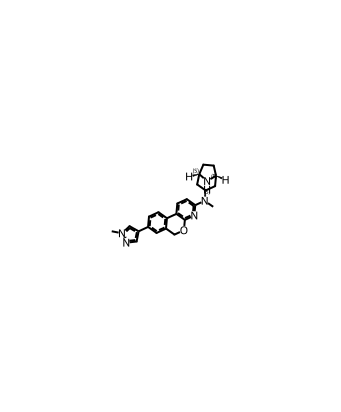 CN(c1ccc2c(n1)OCc1cc(-c3cnn(C)c3)ccc1-2)[C@@H]1C[C@H]2CC[C@@H](C1)N2